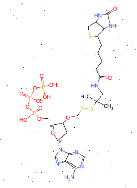 CC(C)(CNC(=O)CCCCC1SCC2NC(=O)NC21)SSCOC1C[C@H](n2cnc3c(N)ncnc32)O[C@@H]1COP(=O)(O)OP(=O)(O)OP(=O)(O)O